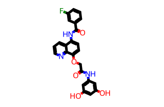 O=C(COc1ccc(NC(=O)c2cccc(F)c2)c2cccnc12)Nc1cc(O)cc(O)c1